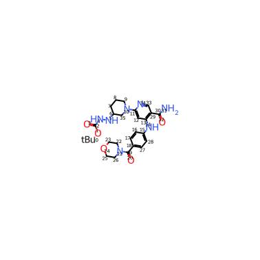 CC(C)(C)OC(=O)NNC1CCCN(c2cc(Nc3ccc(C(=O)N4CCOCC4)cc3)c(C(N)=O)cn2)C1